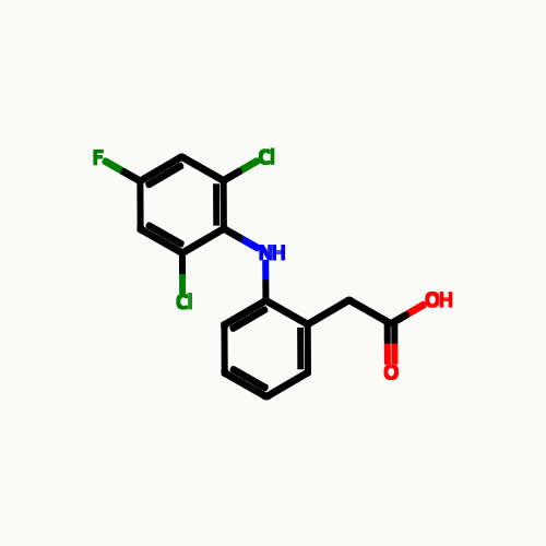 O=C(O)Cc1ccccc1Nc1c(Cl)cc(F)cc1Cl